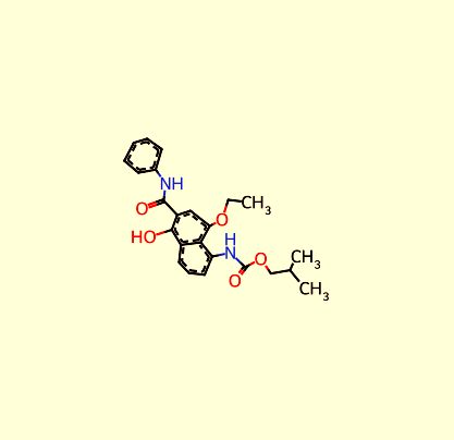 CCOc1cc(C(=O)Nc2ccccc2)c(O)c2cccc(NC(=O)OCC(C)C)c12